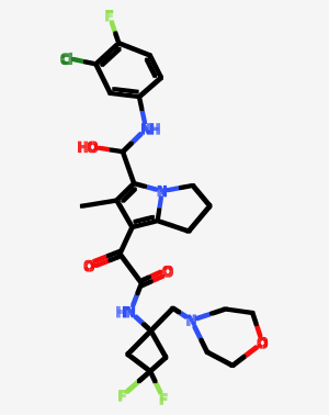 Cc1c(C(=O)C(=O)NC2(CN3CCOCC3)CC(F)(F)C2)c2n(c1C(O)Nc1ccc(F)c(Cl)c1)CCC2